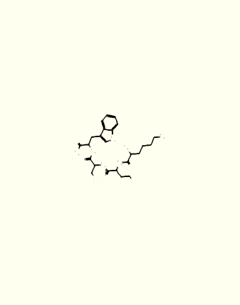 NCCCCC(N)C(=O)NC(CCC(=O)O)C(=O)NC(CC(=O)O)C(=O)NC(Cc1c[nH]c2ccccc12)C(N)=O